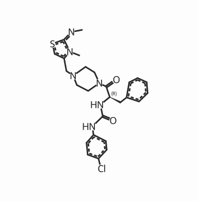 CN=c1scc(CN2CCN(C(=O)[C@@H](Cc3ccccc3)NC(=O)Nc3ccc(Cl)cc3)CC2)n1C